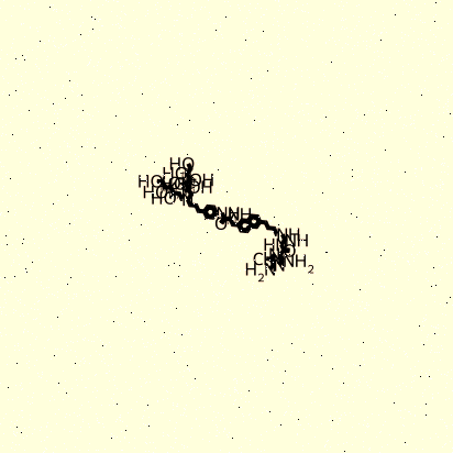 N=C(NCCCCc1ccc2cc(C[C@H](N)C(=O)Nc3ccc(CCCN(CC[C@@H](O)[C@H](O)[C@H](O)CO)C[C@@](O)(I)[C@@H](O)[C@H](O)[C@H](O)CO)cc3)ccc2c1)NC(=O)c1nc(Cl)c(N)nc1N